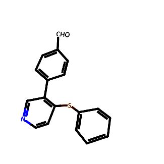 O=Cc1ccc(-c2cnccc2Sc2ccccc2)cc1